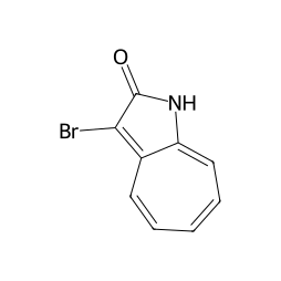 O=c1[nH]c2cccccc-2c1Br